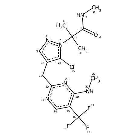 CNC(=O)C(C)(C)n1ncc(Cc2ncc(C(F)(F)F)c(NC)n2)c1Cl